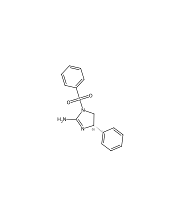 NC1=N[C@@H](c2ccccc2)CN1S(=O)(=O)c1ccccc1